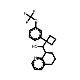 OC(C1CCCc2cccnc21)C1(c2cccc(OC(F)(F)F)c2)CCC1